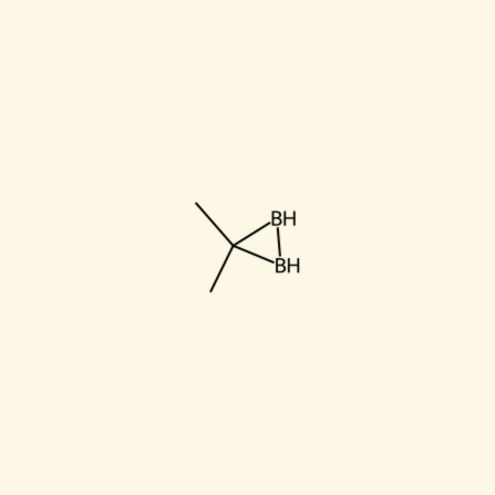 CC1(C)BB1